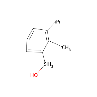 Cc1c([SiH2]O)cccc1C(C)C